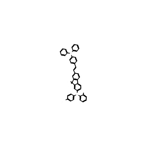 Cc1ccc(N(c2ccc3c(c2)C(C)(C)c2cc(/C=C/c4ccc(N(c5ccccc5)c5ccccc5)cc4)ccc2-3)c2ccccc2C)cc1